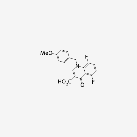 COc1ccc(Cn2cc(C(=O)O)c(=O)c3c(F)ccc(F)c32)cc1